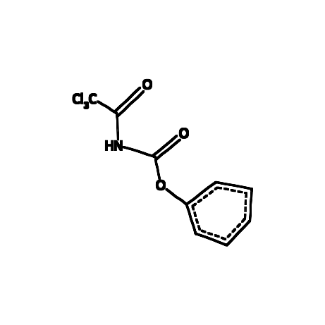 O=C(NC(=O)C(Cl)(Cl)Cl)Oc1ccccc1